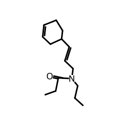 CCCN(C/C=C/C1CC=CCC1)C(=O)CC